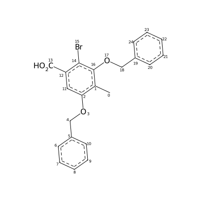 Cc1c(OCc2ccccc2)cc(C(=O)O)c(Br)c1OCc1ccccc1